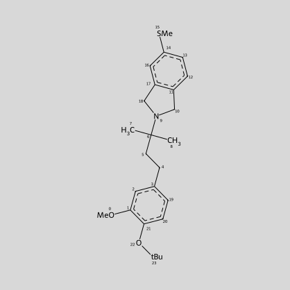 COc1cc(CCC(C)(C)N2Cc3ccc(SC)cc3C2)ccc1OC(C)(C)C